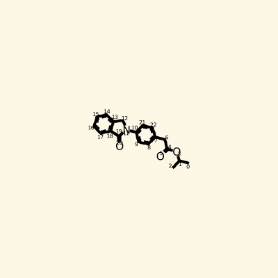 CC(C)OC(=O)Cc1ccc(N2Cc3ccccc3C2=O)cc1